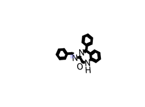 O=C1Nc2ccccc2C(c2ccccc2)=NC1/N=C/c1ccccc1